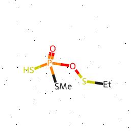 CCSOP(=O)(S)SC